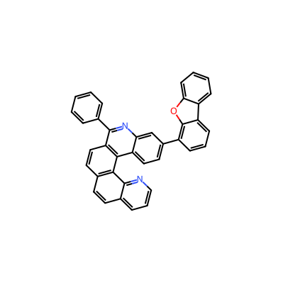 c1ccc(-c2nc3cc(-c4cccc5c4oc4ccccc45)ccc3c3c2ccc2ccc4cccnc4c23)cc1